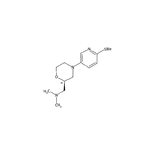 CSc1ccc(N2CCO[C@H](CN(C)C)C2)cn1